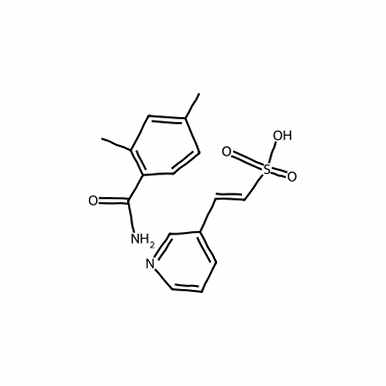 Cc1ccc(C(N)=O)c(C)c1.O=S(=O)(O)C=Cc1cccnc1